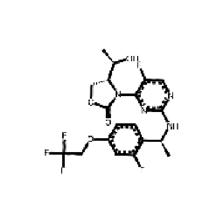 C[C@H](Nc1ncc(F)c(N2C(=O)OC[C@@H]2[C@@H](C)O)n1)c1ccc(OCC(F)(F)F)cc1F